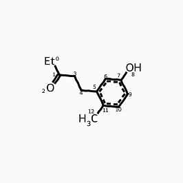 CCC(=O)CCc1cc(O)ccc1C